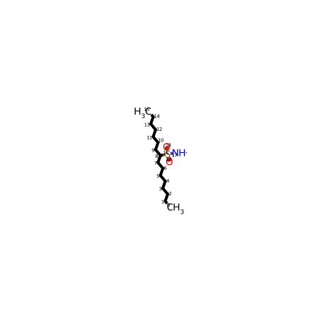 CCCCCCCCC(CCCCCCC)S([NH])(=O)=O